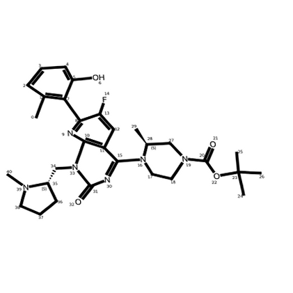 Cc1cccc(O)c1-c1nc2c(cc1F)c(N1CCN(C(=O)OC(C)(C)C)C[C@@H]1C)nc(=O)n2C[C@@H]1CCCN1C